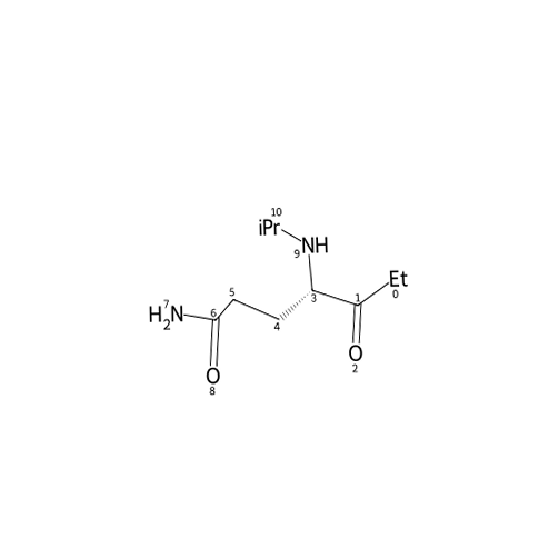 CCC(=O)[C@H](CCC(N)=O)NC(C)C